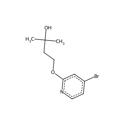 CC(C)(O)CCOc1cc(Br)ccn1